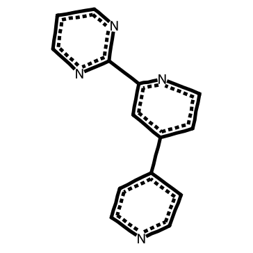 c1cnc(-c2cc(-c3ccncc3)ccn2)nc1